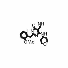 COc1ccccc1Cc1nc(NC2CCOCC2)c(C=N)c(=O)[nH]1